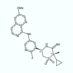 COc1cnc2c(Nc3cnc(F)c([C@@H]4CS(=O)(=O)[C@@](C)(C5CC5)C(=N)N4)c3)nccc2c1